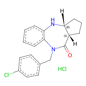 Cl.O=C1[C@H]2CCC[C@H]2Nc2ccccc2N1Cc1ccc(Cl)cc1